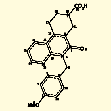 COc1ccc(Cn2c(=O)c3c(c4cccnc42)CCN(C(=O)O)C3)cc1